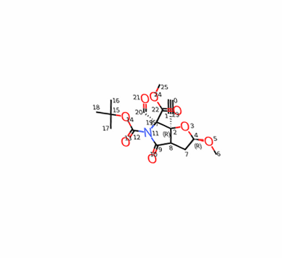 C#C[C@]12O[C@@H](OC)CC1C(=O)N(C(=O)OC(C)(C)C)[C@@]2(C=O)C(=O)OC